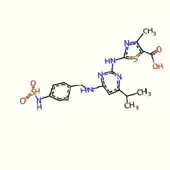 Cc1nc(Nc2nc(NCc3ccc(N[SH](=O)=O)cc3)cc(C(C)C)n2)sc1C(=O)O